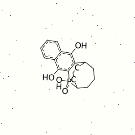 O=P1(O)c2c(c(O)c3ccccc3c2O)C2CCCC1CCC2